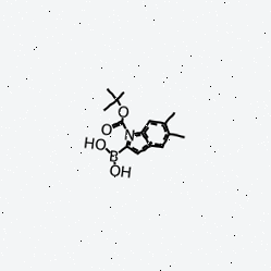 Cc1cc2cc(B(O)O)n(C(=O)OC(C)(C)C)c2cc1C